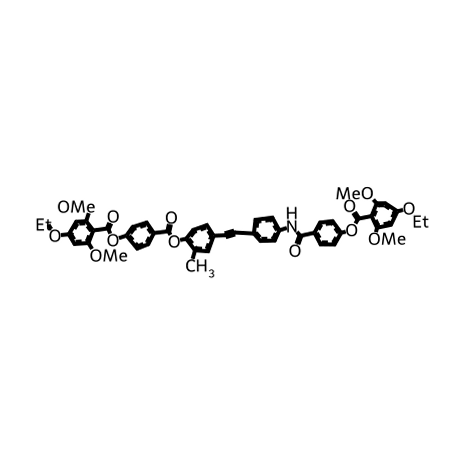 CCOc1cc(OC)c(C(=O)Oc2ccc(C(=O)Nc3ccc(C#Cc4ccc(OC(=O)c5ccc(OC(=O)c6c(OC)cc(OCC)cc6OC)cc5)c(C)c4)cc3)cc2)c(OC)c1